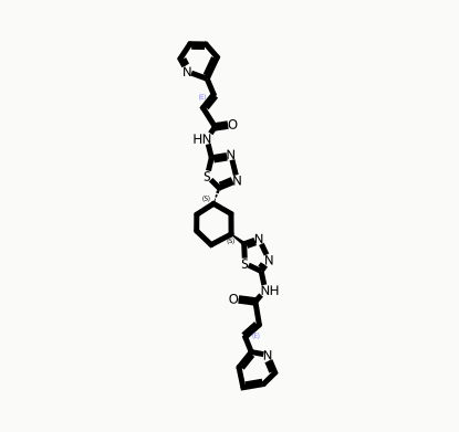 O=C(/C=C/c1ccccn1)Nc1nnc([C@H]2CCC[C@H](c3nnc(NC(=O)/C=C/c4ccccn4)s3)C2)s1